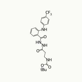 CC(C)(C)OC(=O)NCCC(=O)NNC(=O)c1ccccc1Nc1ccc(C(F)(F)F)cc1